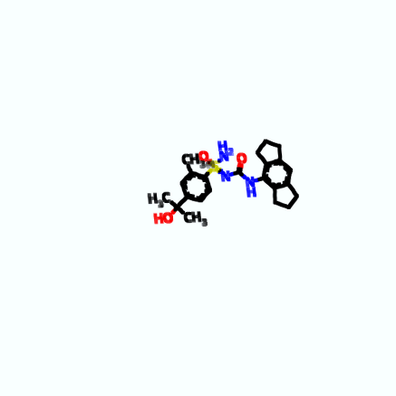 Cc1cc(C(C)(C)O)ccc1[S@](N)(=O)=NC(=O)Nc1c2c(cc3c1CCC3)CCC2